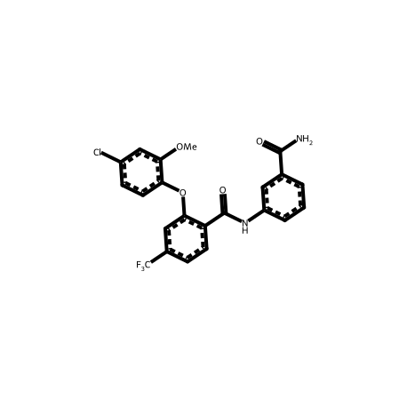 COc1cc(Cl)ccc1Oc1cc(C(F)(F)F)ccc1C(=O)Nc1cccc(C(N)=O)c1